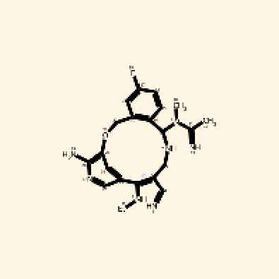 CCN/C1=C(\C=N)CNC(N(C)C(C)=N)c2ccc(F)cc2COc2cc1cnc2N